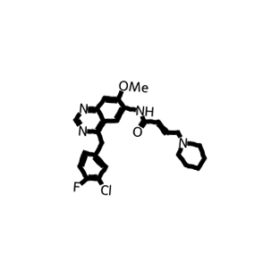 COc1cc2ncnc(Cc3ccc(F)c(Cl)c3)c2cc1NC(=O)/C=C/CN1CCCCC1